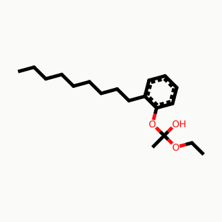 CCCCCCCCCc1ccccc1OC(C)(O)OCC